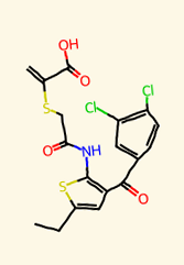 C=C(SCC(=O)Nc1sc(CC)cc1C(=O)c1ccc(Cl)c(Cl)c1)C(=O)O